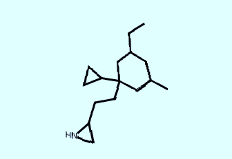 CCC1CC(C)CC(CCC2CN2)(C2CC2)C1